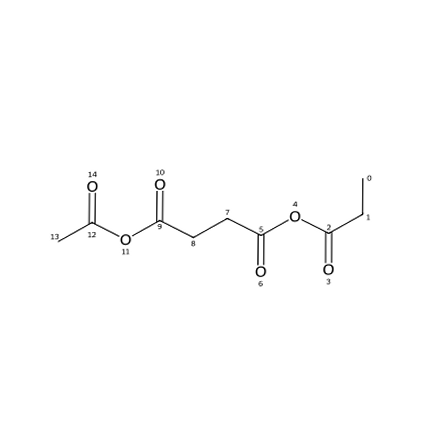 CCC(=O)OC(=O)CCC(=O)OC(C)=O